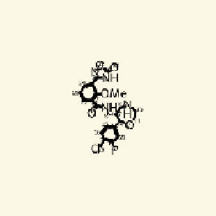 COc1c(C(=O)NC[C@@H]2CNCCO[C@H]2c2ccc(Cl)c(F)c2)cccc1-c1noc(=O)[nH]1